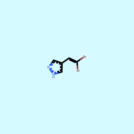 BrC(Br)=Cc1cn[nH]c1